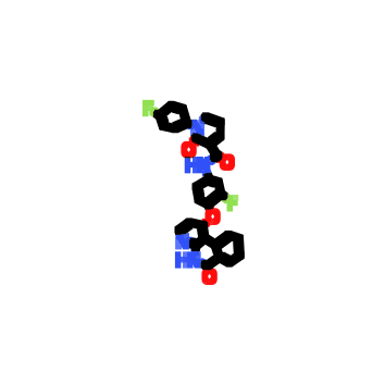 O=C(Nc1ccc(Oc2ccnc3[nH]c(=O)c4ccccc4c23)c(F)c1)c1cccn(-c2ccc(F)cc2)c1=O